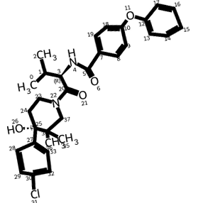 CC(C)[C@@H](NC(=O)c1ccc(Oc2ccccc2)cc1)C(=O)N1CC[C@](O)(c2ccc(Cl)cc2)C(C)(C)C1